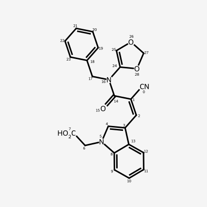 N#CC(=Cc1cn(CC(=O)O)c2ccccc12)C(=O)N(Cc1ccccc1)C1=COCO1